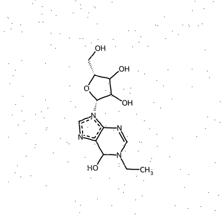 CCN1C=Nc2c(ncn2[C@@H]2O[C@H](CO)C(O)C2O)C1O